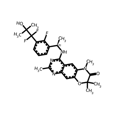 Cc1nc(N[C@H](C)c2cccc(C(F)(F)C(C)(C)O)c2F)c2cc3c(cc2n1)OC(C)(C)C(=O)N3C